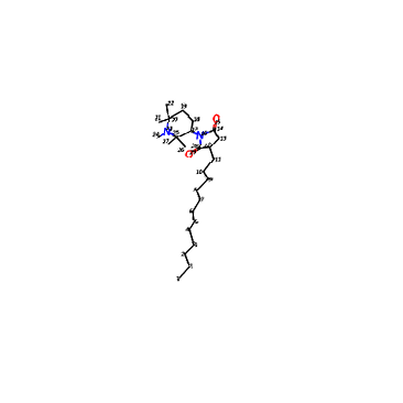 CCCCCCCCCCCCC1CC(=O)N(C2CCC(C)(C)N(C)C2(C)C)C1=O